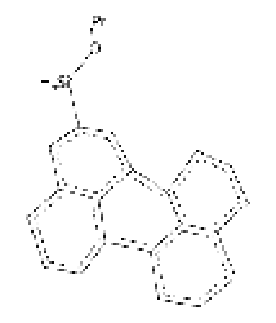 CC(C)O[SiH2]c1cc2cccc3c4cccc5cccc(c(c1)c23)c54